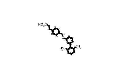 Cc1cccc(C)c1-c1cccc(OCc2ccc(CCC(=O)O)cc2)n1